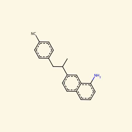 CC(Cc1ccc(C#N)cc1)c1ccc2cccc(N)c2c1